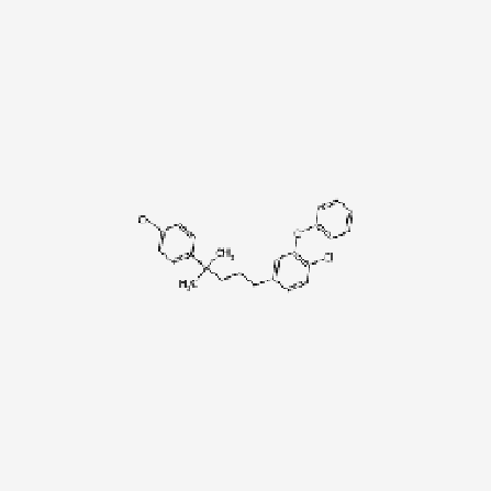 CC(C)(CCCc1ccc(Cl)c(Oc2ccccc2)c1)c1ccc(Cl)cc1